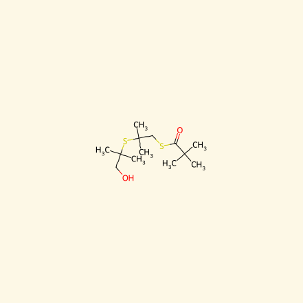 CC(C)(CO)SC(C)(C)CSC(=O)C(C)(C)C